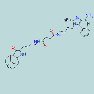 CCCCc1nc2c(N)nc3ccccc3c2n1CCCCNC(=O)CCC(=O)NCCCCC1NC2C3CCCCCC(CC3)C2C1=O